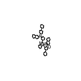 c1ccc(-c2ccc(N(c3cccc(C4=Nc5ccccc5C(c5cc(-c6ccccc6)cc6oc7cc8ccccc8cc7c56)N4)c3)c3ccc4ccccc4c3)cc2)cc1